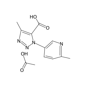 CC(=O)O.Cc1ccc(-n2nnc(C)c2C(=O)O)cn1